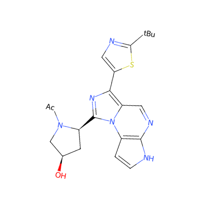 CC(=O)N1C[C@H](O)C[C@@H]1c1nc(-c2cnc(C(C)(C)C)s2)c2cnc3[nH]ccc3n12